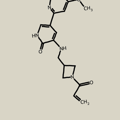 C=CC(=O)N1CC(CNc2cc(-c3cc(OC)ccn3)c[nH]c2=O)C1